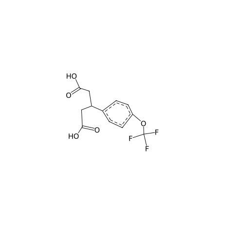 O=C(O)CC(CC(=O)O)c1ccc(OC(F)(F)F)cc1